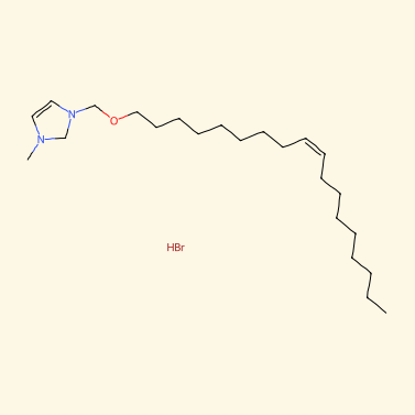 Br.CCCCCCCC/C=C\CCCCCCCCOCN1C=CN(C)C1